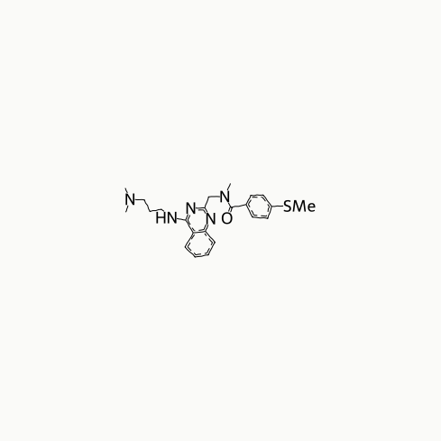 CSc1ccc(C(=O)N(C)Cc2nc(NCCCN(C)C)c3ccccc3n2)cc1